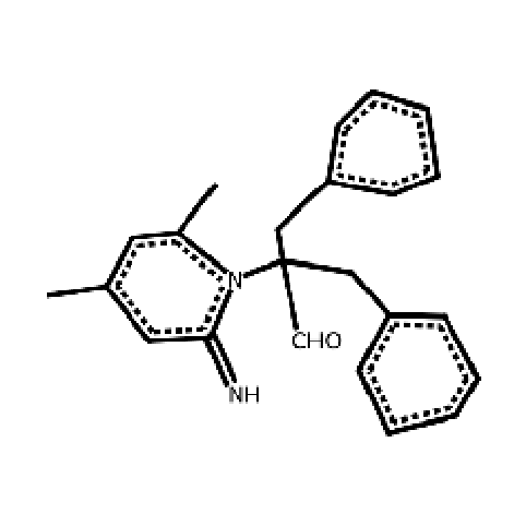 Cc1cc(C)n(C(C=O)(Cc2ccccc2)Cc2ccccc2)c(=N)c1